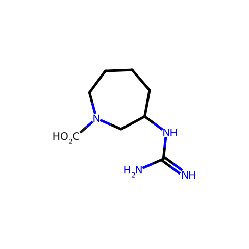 N=C(N)NC1CCCCN(C(=O)O)C1